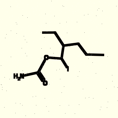 CCCC(CC)C(I)OC(N)=O